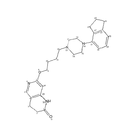 O=C1CCc2cnc(OCCCCN3CCN(c4cccc5c4CCC5)CC3)cc2N1